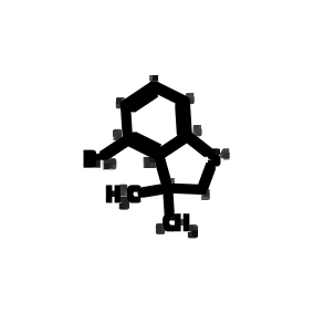 CC1(C)CSc2cccc(Br)c21